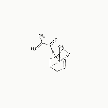 C=C(C)C(=O)OC1(C)C2CC=C3C(C2)CC31